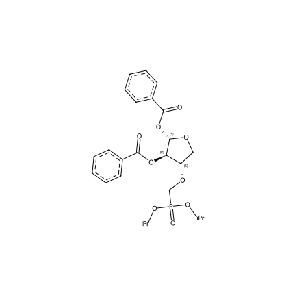 CC(C)OP(=O)(CO[C@H]1CO[C@@H](OC(=O)c2ccccc2)[C@@H]1OC(=O)c1ccccc1)OC(C)C